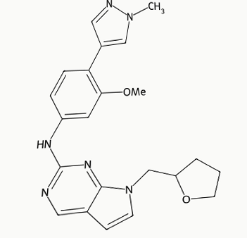 COc1cc(Nc2ncc3ccn(CC4CCCO4)c3n2)ccc1-c1cnn(C)c1